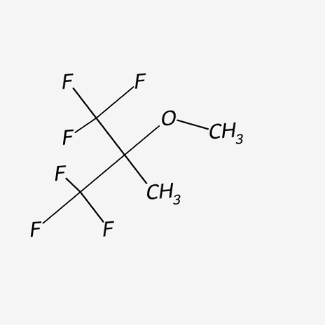 COC(C)(C(F)(F)F)C(F)(F)F